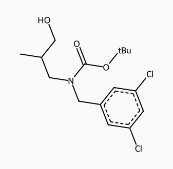 CC(CO)CN(Cc1cc(Cl)cc(Cl)c1)C(=O)OC(C)(C)C